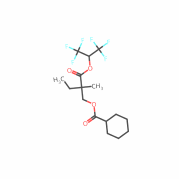 CCC(C)(COC(=O)C1CCCCC1)C(=O)OC(C(F)(F)F)C(F)(F)F